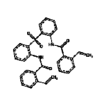 C=Cc1ccccc1C(=O)Nc1ccccc1S(=O)(=O)c1ccccc1NC(=O)c1ccccc1C=C